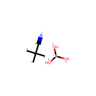 CC(C)(C)C#N.OB(O)O